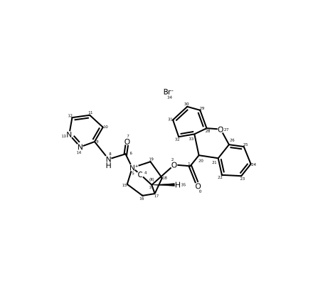 O=C(O[C@H]1C[N+]2(C(=O)Nc3cccnn3)CCC1CC2)C1c2ccccc2Oc2ccccc21.[Br-]